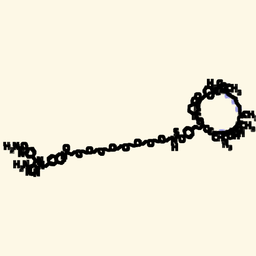 CO[C@H]1C[C@@H]2CCCC(O2)C(=O)C(=O)N2CCCC[C@H]2COC(CCC2CCC(OC(=S)NCCOCCOCCOCCOCCOCCOCCOCCOCCC(=O)N3CCc4cc(Cn5nc(-c6ccc7oc(N)nc7c6)c6c(N)ncnc65)ccc4C3)CC2)CC[C@H](C)/C=C(\C)[C@@H](O)[C@@H](O)C(=O)[C@H](C)C[C@H](C)/C=C/C=C/C=C/1C